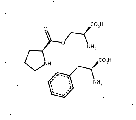 N[C@@H](COC(=O)[C@@H]1CCCN1)C(=O)O.N[C@@H](Cc1ccccc1)C(=O)O